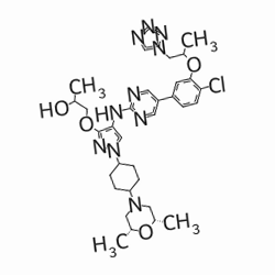 CC(O)COc1nn(C2CCC(N3C[C@@H](C)O[C@@H](C)C3)CC2)cc1Nc1ncc(-c2ccc(Cl)c(OC(C)Cn3cnnn3)c2)cn1